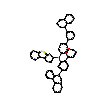 c1ccc(-c2ccc(-c3cc4ccccc4c4ccccc34)cc2N(c2ccc(-c3cccc(-c4cccc5ccccc45)c3)cc2)c2ccc3c(c2)sc2ccccc23)cc1